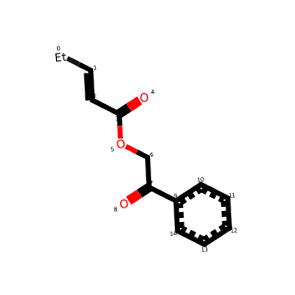 CC/C=C/C(=O)OCC(=O)c1ccccc1